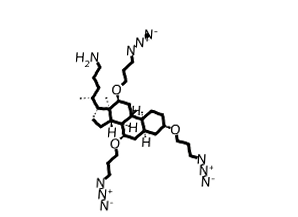 C[C@H](CCCN)[C@H]1CC[C@H]2[C@@H]3[C@H](OCCCN=[N+]=[N-])C[C@@H]4C[C@H](OCCCN=[N+]=[N-])CC[C@]4(C)[C@H]3C[C@H](OCCCN=[N+]=[N-])[C@]12C